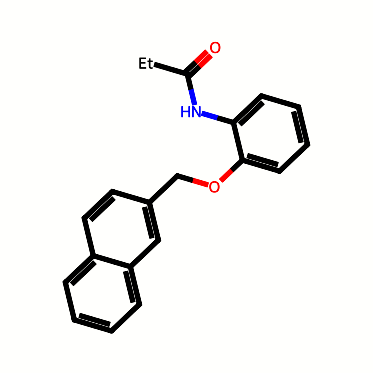 CCC(=O)Nc1ccccc1OCc1ccc2ccccc2c1